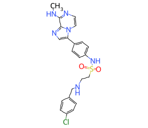 CNc1nccn2c(-c3ccc(NS(=O)(=O)CCNCc4ccc(Cl)cc4)cc3)cnc12